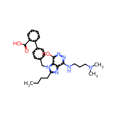 CCCCc1nc2c(NCCCN(C)C)nnc(O)c2n1Cc1ccc(-c2ccccc2C(=O)O)cc1